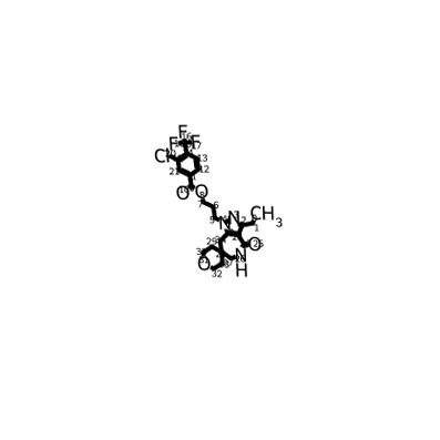 CCc1nn(CCCOC(=O)c2ccc(C(F)(F)F)c(Cl)c2)c2c1C(=O)NCC1(CCOCC1)C2